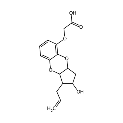 C=CCC1C(O)CC2Oc3c(OCC(=O)O)cccc3OC21